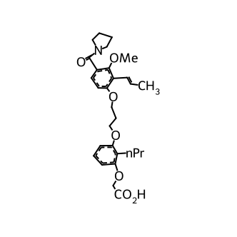 CC=Cc1c(OCCCOc2cccc(OCC(=O)O)c2CCC)ccc(C(=O)N2CCCC2)c1OC